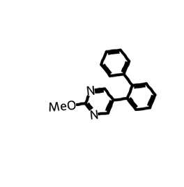 COc1ncc(-c2ccccc2-c2ccccc2)cn1